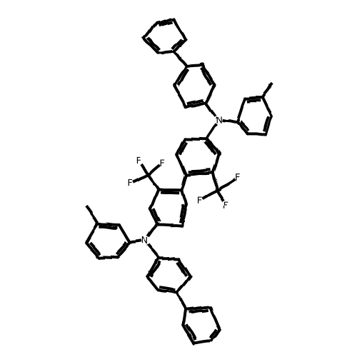 Cc1cccc(N(c2ccc(-c3ccccc3)cc2)c2ccc(-c3ccc(N(c4ccc(-c5ccccc5)cc4)c4cccc(C)c4)cc3C(F)(F)F)c(C(F)(F)F)c2)c1